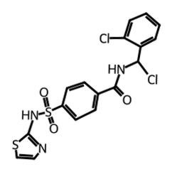 O=C(NC(Cl)c1ccccc1Cl)c1ccc(S(=O)(=O)Nc2nccs2)cc1